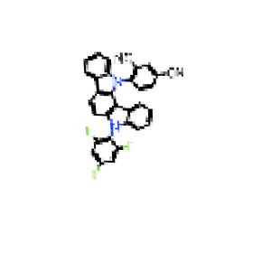 N#Cc1ccc(-n2c3ccccc3c3ccc4c(c5ccccc5n4-c4c(F)cc(F)cc4F)c32)c(C#N)c1